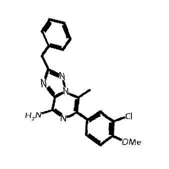 COc1ccc(-c2nc(N)c3nc(Cc4ccccc4)nn3c2C)cc1Cl